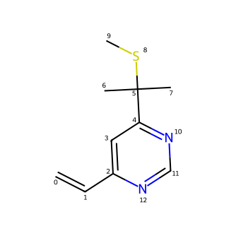 C=Cc1cc(C(C)(C)SC)ncn1